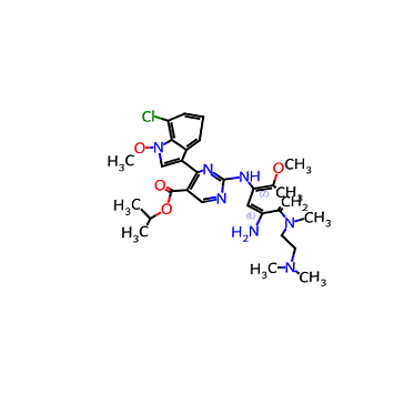 C=C(/C(N)=C\C(Nc1ncc(C(=O)OC(C)C)c(-c2cn(OC)c3c(Cl)cccc23)n1)=C(/C)OC)N(C)CCN(C)C